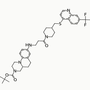 CC(C)(C)OC(=O)N1CCN2c3ccc(NCCC(=O)N4CCC(CSc5ccnc6cc(C(F)(F)F)ccc56)CC4)cc3CCC2C1